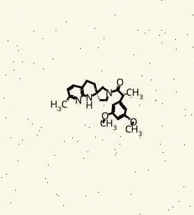 COc1cc(OC)cc([C@@H](C)C(=O)N2CC[C@]3(CCc4ccc(C)nc4N3)C2)c1